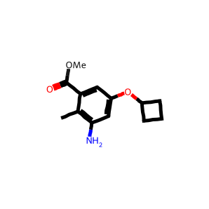 COC(=O)c1cc(OC2CCC2)cc(N)c1C